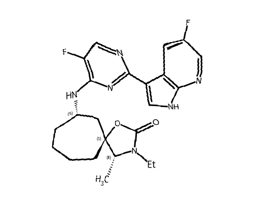 CCN1C(=O)O[C@]2(CCCC[C@H](Nc3nc(-c4c[nH]c5ncc(F)cc45)ncc3F)C2)[C@H]1C